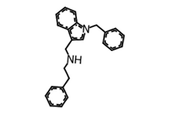 c1ccc(CCNCc2cn(Cc3ccccc3)c3ccccc23)cc1